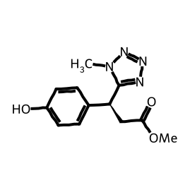 COC(=O)C[C@@H](c1ccc(O)cc1)c1nnnn1C